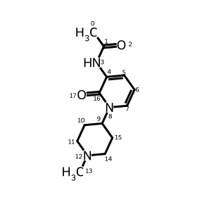 CC(=O)Nc1cccn(C2CCN(C)CC2)c1=O